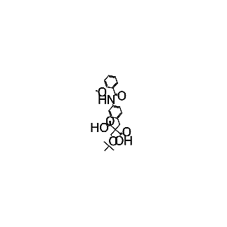 COc1ccccc1C(=O)Nc1ccc(CC(COC(C)(C)C)(C(=O)O)C(=O)O)cc1